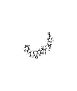 N#Cc1ccc(CN2CCC(NC(=O)c3ccc(C(=O)N4CCN(Cc5ccncc5)CC4)cn3)CC2)cc1